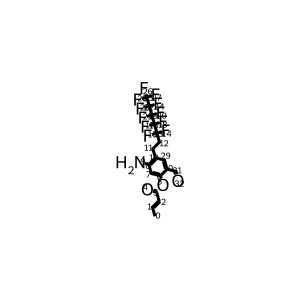 C/C=C/C(=O)Oc1cc(N)c(CCC(F)(F)C(F)(F)C(F)(F)C(F)(F)C(F)(F)F)cc1C=O